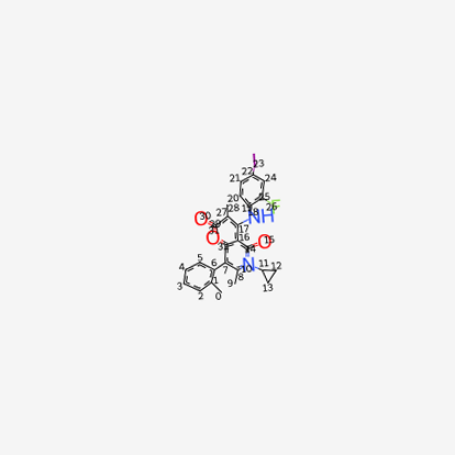 Cc1ccccc1-c1c(C)n(C2CC2)c(=O)c2c(Nc3ccc(I)cc3F)c(C)c(=O)oc12